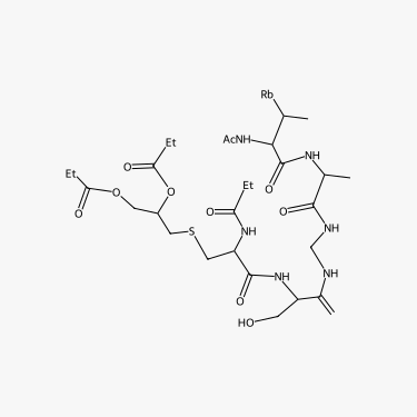 C=C(NCNC(=O)C(C)NC(=O)C(NC(C)=O)[CH](C)[Rb])C(CO)NC(=O)C(CSCC(COC(=O)CC)OC(=O)CC)NC(=O)CC